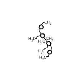 C=CCc1cc(C(C)(C)c2ccc(Cc3ccc(C=C)cc3)c(CC=C)c2)ccc1Cc1ccc(C=C)cc1